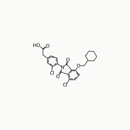 O=C(O)Cc1ccc(N2C(=O)c3c(Cl)ccc(OCC4CCCCC4)c3C2=O)c(Cl)c1